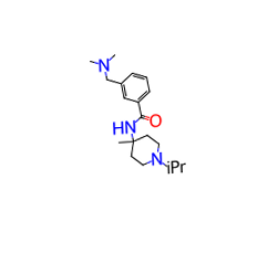 CC(C)N1CCC(C)(NC(=O)c2cccc(CN(C)C)c2)CC1